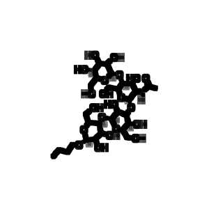 CCCCO[C@@H]1OC(CO)[C@@H](O[C@@H]2OC(CO)[C@H](O)C(O[C@@H]3OC(CO)[C@@H](O[C@@H]4OC(CO)[C@H](O)C(O)C4O)C(O)C3NC(C)=O)C2O)C(O)C1O